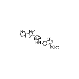 CCCCCCCCN(C)c1ccc(Nc2nc(-c3sc(-c4cnccn4)nc3C)cs2)cc1C(F)(F)F